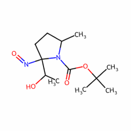 CC1CCC(N=O)(C(C)O)N1C(=O)OC(C)(C)C